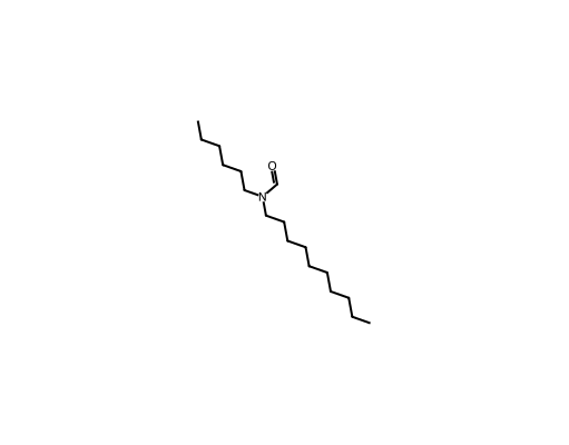 CCCCCCCCCCN(C=O)CCCCCC